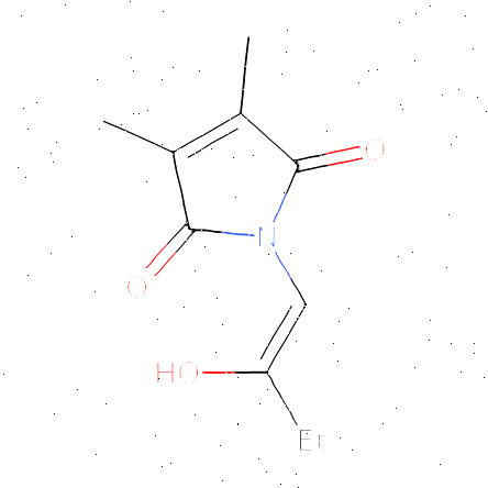 CCC(O)=CN1C(=O)C(C)=C(C)C1=O